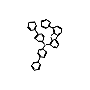 c1ccc(-c2ccc(N(c3ccc(-c4ccccc4)cc3)c3cccc4c3sc3c(-c5ccccc5)cccc34)cc2)cc1